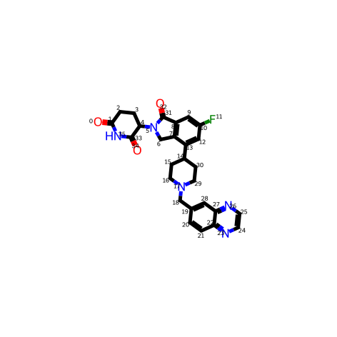 O=C1CCC(N2Cc3c(cc(F)cc3C3CCN(Cc4ccc5nccnc5c4)CC3)C2=O)C(=O)N1